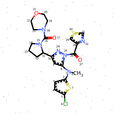 CN(c1ccc(Cl)s1)c1cc(C2CCCN2C(=O)N2CCOCC2)nn1C(=O)c1cscn1